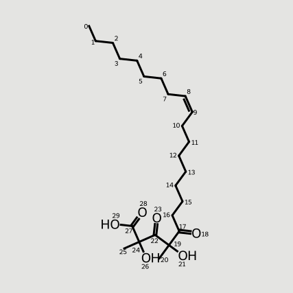 CCCCCCCC/C=C\CCCCCCCC(=O)C(C)(O)C(=O)C(C)(O)C(=O)O